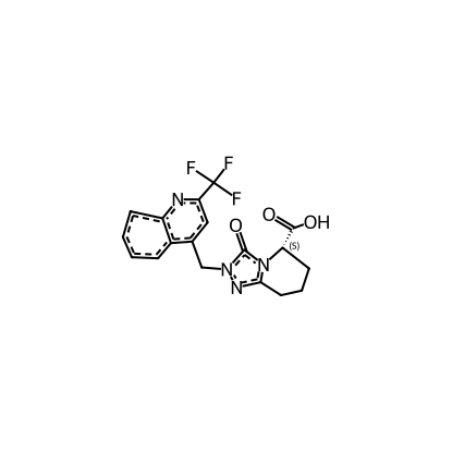 O=C(O)[C@@H]1CCCc2nn(Cc3cc(C(F)(F)F)nc4ccccc34)c(=O)n21